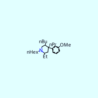 CCCCCCN1CC(CCCC)C(CCC)(c2cccc(OC)c2)CC1CC